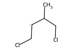 CC([CH]CCl)CCl